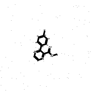 COC(=O)c1nccnc1-c1ccc(C)cc1